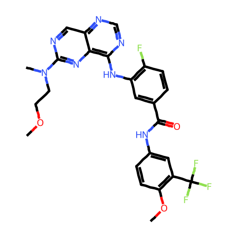 COCCN(C)c1ncc2ncnc(Nc3cc(C(=O)Nc4ccc(OC)c(C(F)(F)F)c4)ccc3F)c2n1